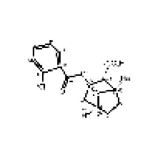 CN1[C@H]2CC[C@@H]1[C@@H](C(=O)O)[C@@H](OC(=O)c1ccccc1Cl)C2